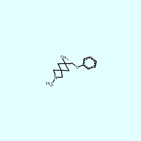 CN1CC2(C1)CC(C)(COc1ccccc1)C2